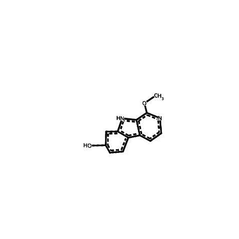 COc1nccc2c1[nH]c1cc(O)ccc12